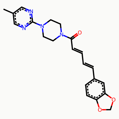 Cc1cnc(N2CCN(C(=O)/C=C/C=C/c3ccc4c(c3)OCO4)CC2)nc1